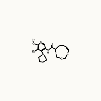 CCOc1ncc(NC(=O)C2CC/C=C\CCCCC2)c(N2CCCCC2)c1CC